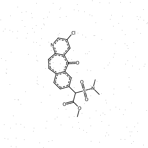 COC(=O)C(c1ccc2ccc3ncc(Cl)cc3c(=O)c2c1)S(=O)(=O)N(C)C